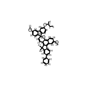 CCC(C)Oc1ccc(C2(c3ccc(OC)cc3)C=Cc3c4c(c5cc(OC)ccc5c3O2)-c2ccc(-c3ccccc3)cc2C4(C)C)cc1